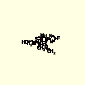 C#CCO/C(=C/N=C)N(C)C(C)(/C(F)=C\C=C)[C@]12CN(c3ncc(F)cn3)C[C@H]1CSC(N)=N2